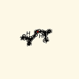 C=C(C)C(=O)OCCNC(=O)OC(COCCOc1cccc(OCCOCC(COc2ccccc2)OC(=O)NCCOC(=O)C(=C)C)c1)COc1ccccc1